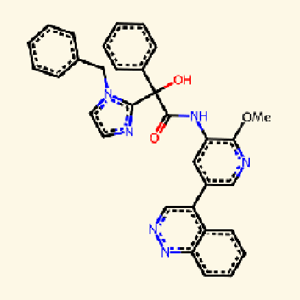 COc1ncc(-c2cnnc3ccccc23)cc1NC(=O)C(O)(c1ccccc1)c1nccn1Cc1ccccc1